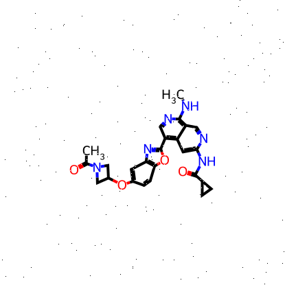 CNc1ncc(-c2nc3cc(OC4CN(C(C)=O)C4)ccc3o2)c2cc(NC(=O)C3CC3)ncc12